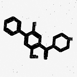 COc1cc(-c2ccccc2)c(Cl)cc1C(=O)N1CCNCC1